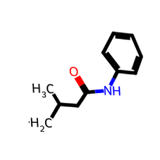 [CH2]C(C)CC(=O)Nc1ccccc1